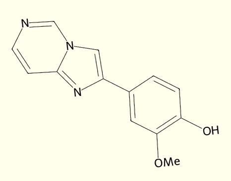 COc1cc(-c2cn3cnccc3n2)ccc1O